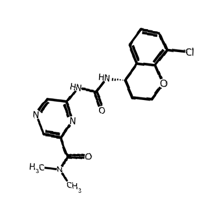 CN(C)C(=O)c1cncc(NC(=O)N[C@H]2CCOc3c(Cl)cccc32)n1